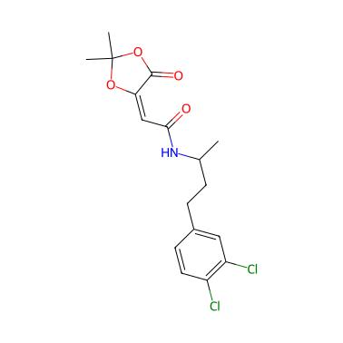 CC(CCc1ccc(Cl)c(Cl)c1)NC(=O)C=C1OC(C)(C)OC1=O